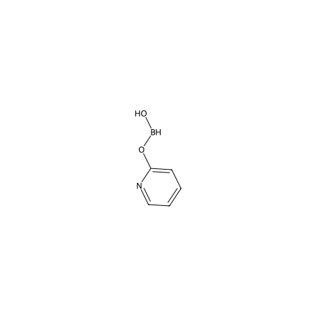 OBOc1ccccn1